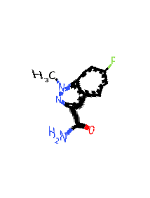 Cn1nc(C(N)=O)c2ccc(F)cc21